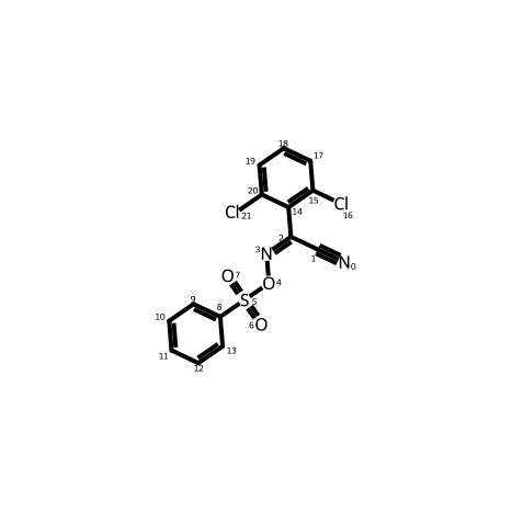 N#CC(=NOS(=O)(=O)c1ccccc1)c1c(Cl)cccc1Cl